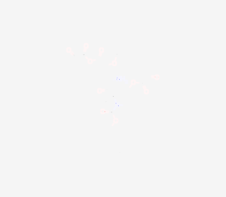 CC(C)(C)OC(C[C@H](N)C(=O)C1(C(C)(C)C)CC(OC(=O)C=O)CCN1C(=O)OCc1ccccc1)C(=O)OC(=O)C=O